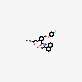 COC(=O)CCc1ccc(COc2ccc(F)cc2)cc1C(=O)NC(CC(C)C)c1cccc2ccccc12